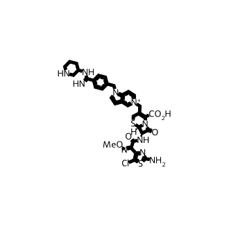 CO/N=C(\C(=O)N[C@@H]1C(=O)N2C(C(=O)O)=C(C[n+]3ccc4c(ccn4Cc4ccc(C(=N)NC5CCCNC5)cc4)c3)CS[C@H]12)c1nc(N)sc1Cl